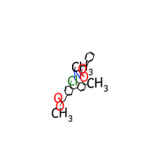 CCOC(=O)Cc1ccc(Cl)c(-c2ccc(C)cc2CN(CC)C(=O)OCc2ccccc2)c1